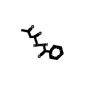 CC(=O)CC(=O)NNC(=O)c1ccccc1